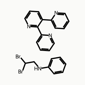 BrC(Br)CNc1ccccc1.c1ccc(-c2cccnc2-c2ccccn2)nc1